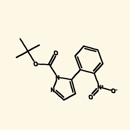 CC(C)(C)OC(=O)n1nccc1-c1ccccc1[N+](=O)[O-]